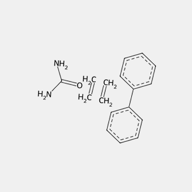 C=C.C=C.NC(N)=O.c1ccc(-c2ccccc2)cc1